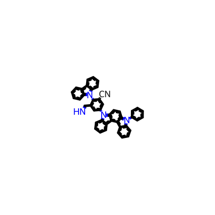 N#Cc1cc(-n2c3ccccc3c3c4c5ccccc5n(-c5ccccc5)c4ccc32)cc(C=N)c1-n1c2ccccc2c2ccccc21